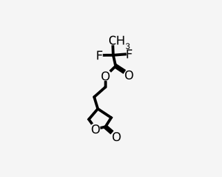 CC(F)(F)C(=O)OCCC1COC(=O)C1